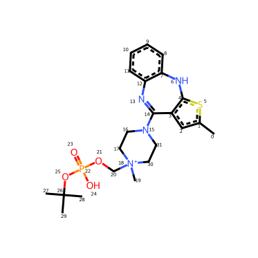 Cc1cc2c(s1)Nc1ccccc1N=C2N1CC[N+](C)(COP(=O)(O)OC(C)(C)C)CC1